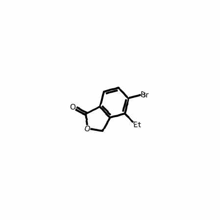 CCc1c(Br)ccc2c1COC2=O